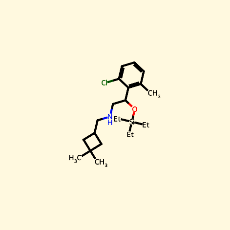 CC[Si](CC)(CC)OC(CNCC1CC(C)(C)C1)c1c(C)cccc1Cl